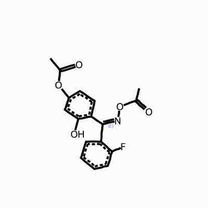 CC(=O)O/N=C(\c1ccc(OC(C)=O)cc1O)c1ccccc1F